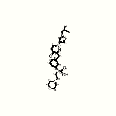 CC(C)Cn1cc(-n2ccc(=O)c(Cc3cccc(N(CCN4CCOCC4)C(=O)O)c3)n2)cn1